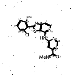 CNC(=O)c1cc(Nc2nccc3nc(-c4c(F)cccc4Cl)sc23)ncn1